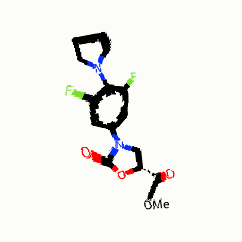 COC(=O)[C@H]1CN(c2cc(F)c(N3CC=CC3)c(F)c2)C(=O)O1